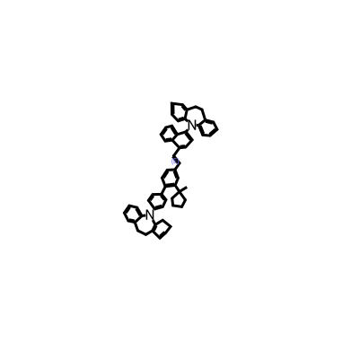 CC1(c2cc(/C=C/c3ccc(N4c5ccccc5CCc5ccccc54)c4ccccc34)ccc2-c2ccc(N3C4=C(C=CCC4)CCc4ccccc43)cc2)CCCC1